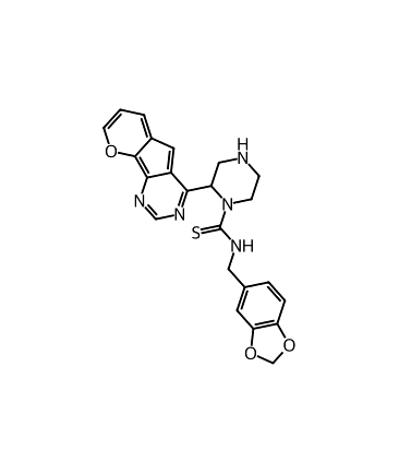 S=C(NCc1ccc2c(c1)OCO2)N1CCNCC1c1ncnc2c3occcc-3cc12